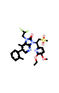 CCOc1nc(C(CS(C)(=O)=O)n2c(=O)n(CC(F)F)c3c(C)c(-c4ccccc4C)cnc32)ccc1OC